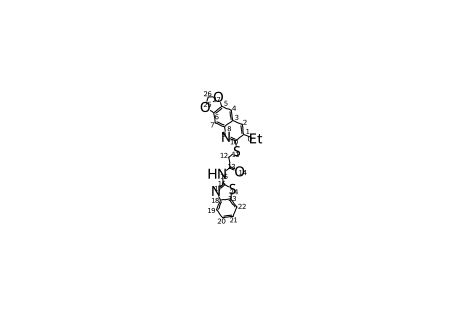 CCc1cc2cc3c(cc2nc1SCC(=O)Nc1nc2ccccc2s1)OCO3